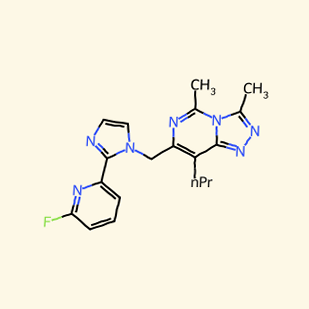 CCCc1c(Cn2ccnc2-c2cccc(F)n2)nc(C)n2c(C)nnc12